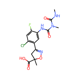 CNC(=O)N(C)C(=O)Nc1cc(C2=NOC(C)(C(=O)O)C2)c(Cl)cc1F